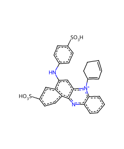 O=S(=O)(O)c1ccc(Nc2cc3c(nc4ccccc4[n+]3C3=CC=CCC3)c3ccc(S(=O)(=O)O)cc23)cc1